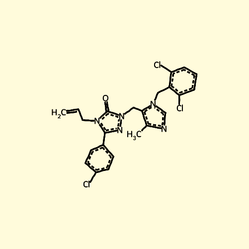 C=CCn1c(-c2ccc(Cl)cc2)nn(Cc2c(C)ncn2Cc2c(Cl)cccc2Cl)c1=O